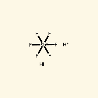 I.[F][Sb-]([F])([F])([F])([F])[F].[H+]